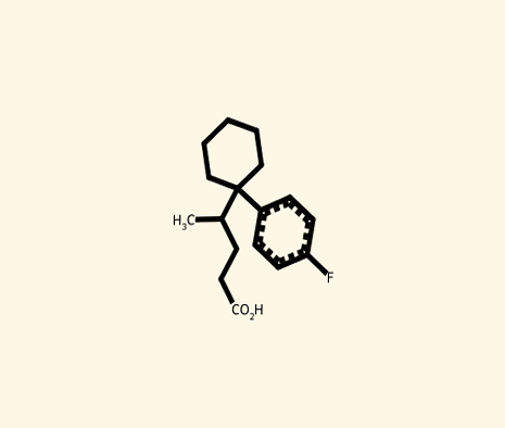 CC(CCC(=O)O)C1(c2ccc(F)cc2)CCCCC1